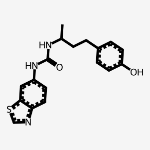 CC(CCc1ccc(O)cc1)NC(=O)Nc1ccc2ncsc2c1